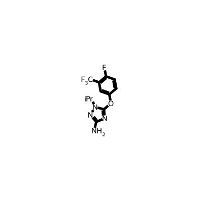 CC(C)n1nc(N)nc1Oc1ccc(F)c(C(F)(F)F)c1